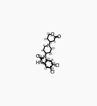 O=C1CC(N2CCC(n3c(=O)[nH]c4cc(Cl)c(Cl)cc43)CC2)CCO1